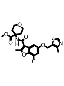 COC(=O)C1(NC(=O)c2c(C)oc3c(Cl)cc(OCc4scnc4C)cc23)CCOCC1